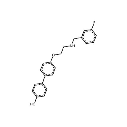 Oc1ccc(-c2ccc(OCCNCc3cccc(F)c3)cc2)cc1